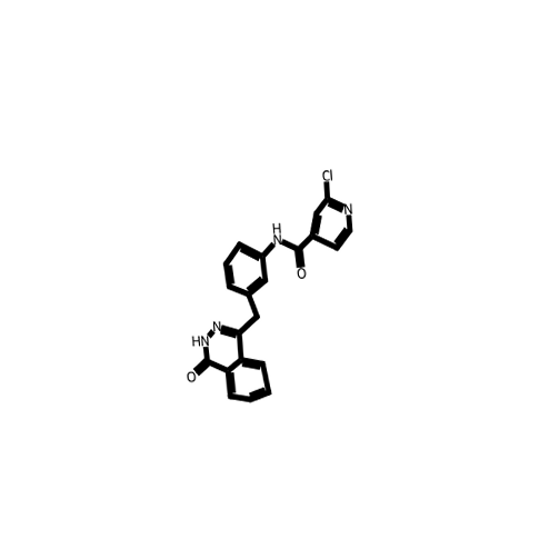 O=C(Nc1cccc(Cc2n[nH]c(=O)c3ccccc23)c1)c1ccnc(Cl)c1